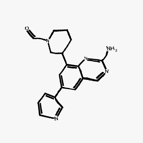 Nc1ncc2cc(-c3cccnc3)cc(C3CCCN(C=O)C3)c2n1